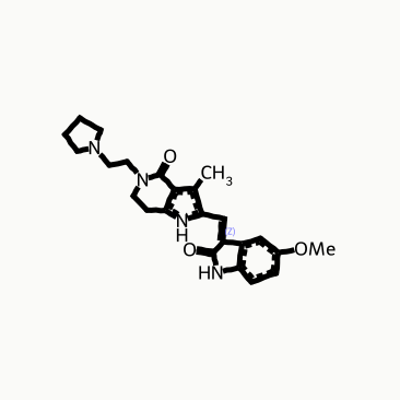 COc1ccc2c(c1)/C(=C/c1[nH]c3c(c1C)C(=O)N(CCN1CCCC1)CC3)C(=O)N2